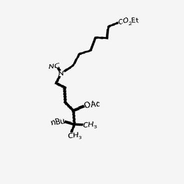 CCCCC(C)(C)C(CCCN(C#N)CCCCCCC(=O)OCC)OC(C)=O